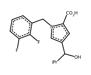 CC(C)C(O)c1cc(C(=O)O)n(Cc2cccc(F)c2F)c1